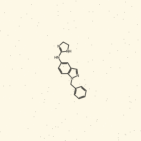 c1ccc(Cn2ncc3cc(NC4=NCCN4)ccc32)cc1